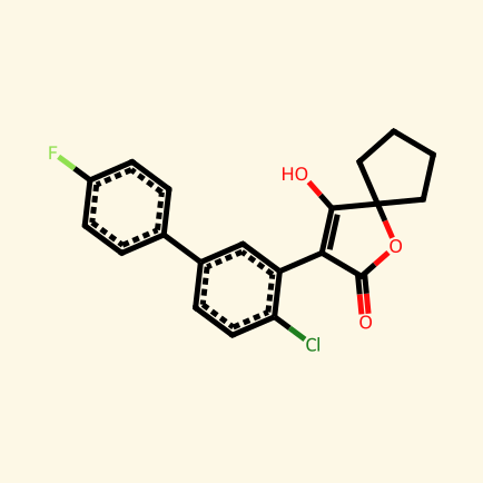 O=C1OC2(CCCC2)C(O)=C1c1cc(-c2ccc(F)cc2)ccc1Cl